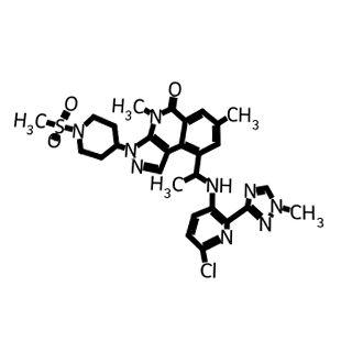 Cc1cc(C(C)Nc2ccc(Cl)nc2-c2ncn(C)n2)c2c(c1)c(=O)n(C)c1c2cnn1C1CCN(S(C)(=O)=O)CC1